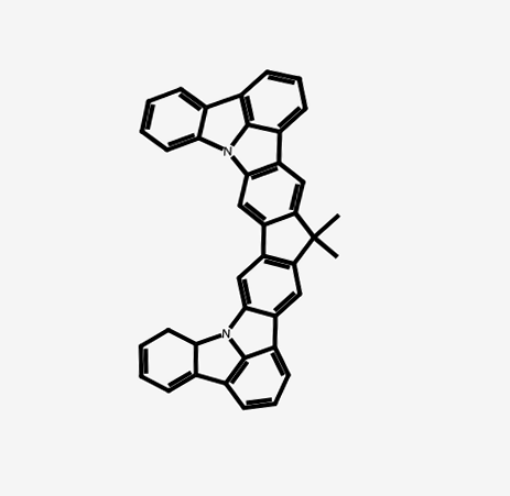 CC1(C)c2cc3c4cccc5c4n(c3cc2-c2cc3c(cc21)c1cccc2c4ccccc4n3c21)C1CC=CC=C51